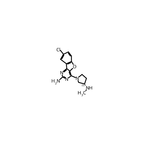 CN[C@H]1CCN(c2nc(N)nc3c2oc2ccc(Cl)cc23)C1